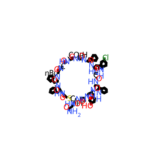 CCCC[C@H]1C(=O)N(C)CC(=O)N[C@@H](CC(=O)O)C(=O)N[C@@H](C(C)C)C(=O)N(C)[C@@H](Cc2ccccc2)C(=O)N[C@@H](Cc2c[nH]c3ccc(Cl)cc23)C(=O)N(C)CC(=O)N[C@@H](Cc2c[nH]c3ccccc23)C(=O)N[C@@H](Cc2ccc(O)cc2)C(=O)N[C@@H](CC(C)C)C(=O)N[C@H](C(=O)NCC(N)=O)CSCC(=O)N[C@@H](Cc2ccccc2)C(=O)N(C)[C@@H](Cc2ccccc2)C(=O)N1C